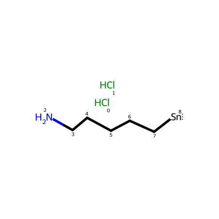 Cl.Cl.NCCCC[CH2][Sn]